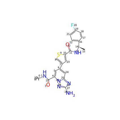 CC(C)NC(=O)c1cc(-c2csc(C(=O)N[C@H](C)c3ccc(F)cc3)c2)cc2nc(N)nn12